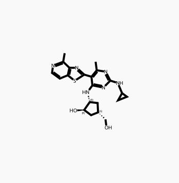 Cc1nc(NC2CC2)nc(N[C@@H]2C[C@H](CO)C[C@H]2O)c1-c1nc2c(C)nccc2s1